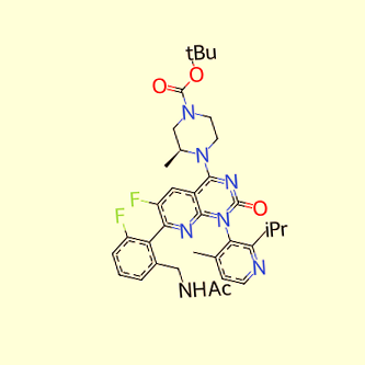 CC(=O)NCc1cccc(F)c1-c1nc2c(cc1F)c(N1CCN(C(=O)OC(C)(C)C)C[C@@H]1C)nc(=O)n2-c1c(C)ccnc1C(C)C